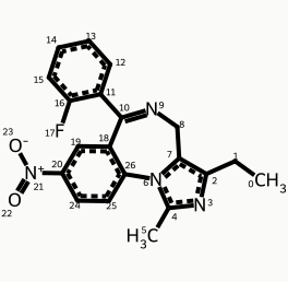 CCc1nc(C)n2c1CN=C(c1ccccc1F)c1cc([N+](=O)[O-])ccc1-2